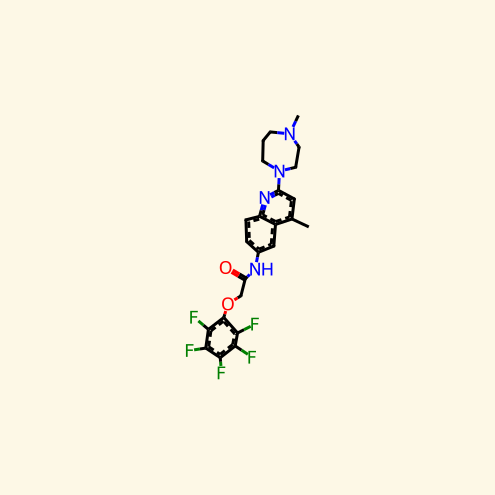 Cc1cc(N2CCCN(C)CC2)nc2ccc(NC(=O)COc3c(F)c(F)c(F)c(F)c3F)cc12